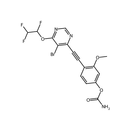 COc1cc(OC(N)=O)ccc1C#Cc1ncnc(OC(F)C(F)F)c1Br